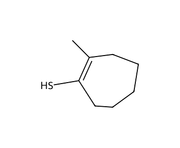 CC1=C(S)CCCCC1